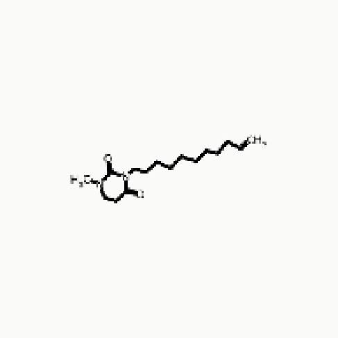 C=CCCCCCCCCCN1C(=O)CCN(C)C1=O